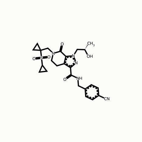 C[C@H](O)Cn1nc(C(=O)NCc2ccc(C#N)cc2)c2c1C(=O)N(CC1(S(=O)(=O)C3CC3)CC1)CC2